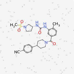 Cc1ccc(C(=O)N2CCC(c3ccc(C#N)cc3)CC2)cc1NC(=O)N[C@@H]1CCN(S(C)(=O)=O)C1